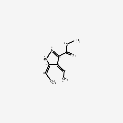 C/C=c1/c(C(=O)OC)n[nH]/c1=C/C